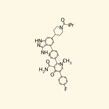 CC(C)C(=O)N1CCC(c2cc(-c3ccc(-c4c(C(N)=O)c(=O)c(-c5ccc(F)cc5)cn4C)cc3)c3c(N)n[nH]c3c2)CC1